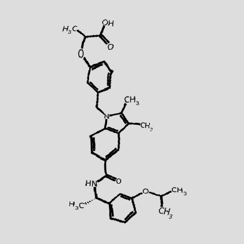 Cc1c(C)n(Cc2cccc(OC(C)C(=O)O)c2)c2ccc(C(=O)N[C@@H](C)c3cccc(OC(C)C)c3)cc12